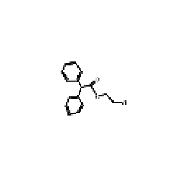 O=C(OCCCl)C(c1ccccc1)c1ccccc1